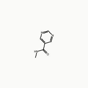 CNC(=O)c1cn[c]nc1